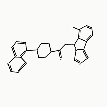 O=C(CC1c2c(F)cccc2-c2cncn21)C1CCC(c2cccc3ncccc23)CC1